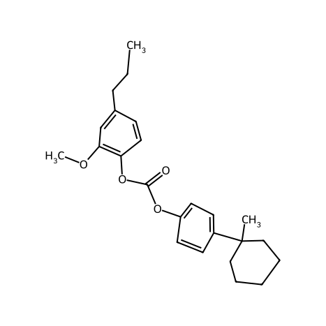 CCCc1ccc(OC(=O)Oc2ccc(C3(C)CCCCC3)cc2)c(OC)c1